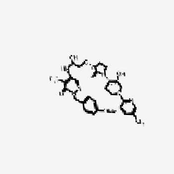 COc1ccc(Cn2ncc(NC(C)CO[C@@H]3CCN([C@H]4CCN(c5ccc(C(F)(F)F)cn5)C[C@@H]4O)C3=O)c(C(F)(F)F)c2=O)cc1